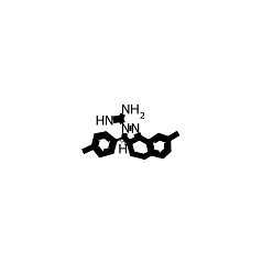 Cc1ccc([C@@H]2[C@@H]3CCc4ccc(C)cc4C3=NN2C(=N)N)cc1